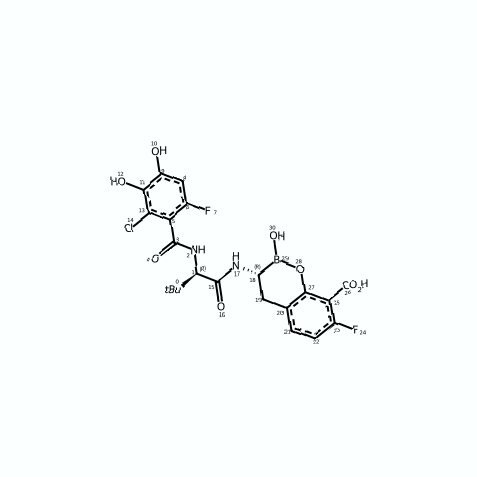 CC(C)(C)[C@@H](NC(=O)c1c(F)cc(O)c(O)c1Cl)C(=O)N[C@H]1Cc2ccc(F)c(C(=O)O)c2OB1O